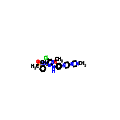 COc1cc(N2CCC(N3CCN(C)CC3)CC2)ccc1Nc1ncc(Cl)c(N[C@H]2CCCC[C@H]2P(C)(C)=O)n1